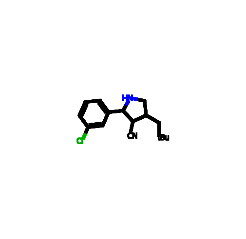 CC(C)(C)CC1CNC(c2cccc(Cl)c2)C1C#N